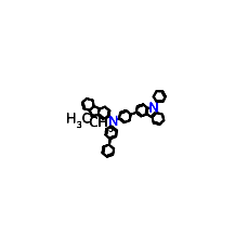 CC1(C)C2=CC(N(C3=CCC(c4ccc5c(c4)c4c(n5C5=CC=CCC5)CCC=C4)C=C3)c3ccc(C4C=CC=CC4)cc3)=CCC2C2CCC=CC21